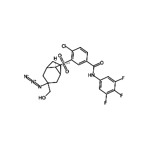 C[C@H]1CC2CC(CO)(N=[N+]=[N-])CC1[C@@H]2S(=O)(=O)c1cc(C(=O)Nc2cc(F)c(F)c(F)c2)ccc1Cl